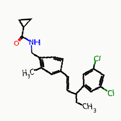 CCC(/C=C/c1ccc(CNC(=O)C2CC2)c(C)c1)c1cc(Cl)cc(Cl)c1